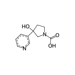 O=C(O)N1CCC(O)(c2cccnc2)C1